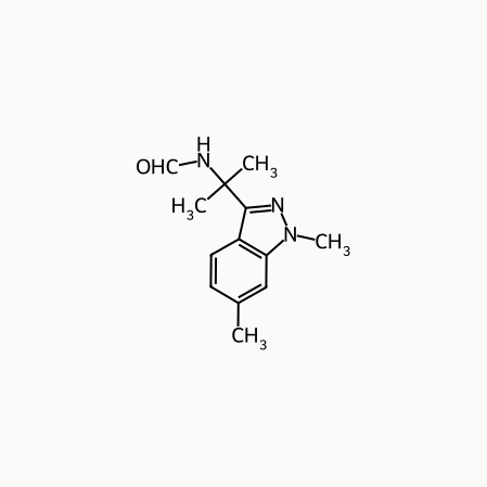 Cc1ccc2c(C(C)(C)NC=O)nn(C)c2c1